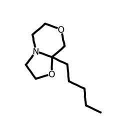 CCCCCC12COCCN1CCO2